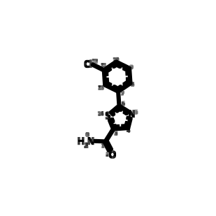 NC(=O)c1cnc(-c2cccc(Cl)c2)s1